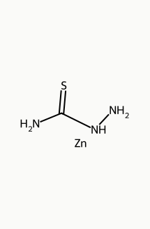 NNC(N)=S.[Zn]